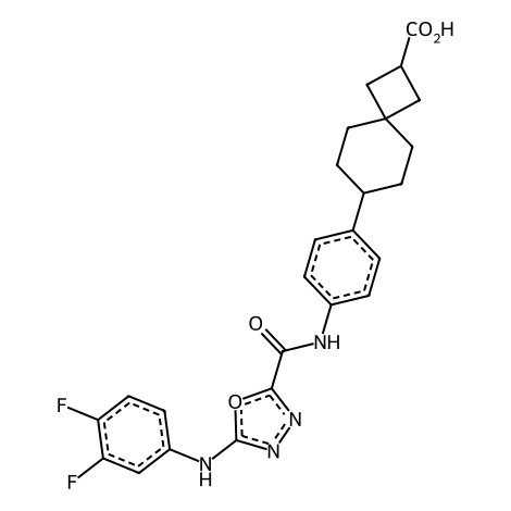 O=C(Nc1ccc(C2CCC3(CC2)CC(C(=O)O)C3)cc1)c1nnc(Nc2ccc(F)c(F)c2)o1